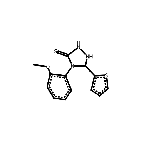 COc1ccccc1N1C(=S)NNC1c1cccs1